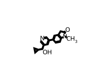 CN1C(=O)Cc2cc(-c3cncc(C(O)C4CC4)c3)ccc21